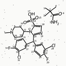 CC(C)(C)C(N)=O.CN1CCC(n2c(S(=O)(=O)O)cnc2C(c2ccc(F)c(Cl)c2)c2ccc(F)c(Cl)c2)CC1